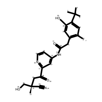 CC(C)(C)c1cc(F)c(CC(=O)Nc2ccnc(C(=O)C[C@](C)(C#N)CO)c2)cc1O